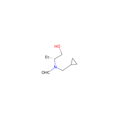 CC[C@H](CO)N(C=O)CC1CC1